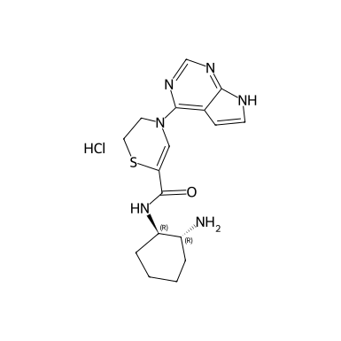 Cl.N[C@@H]1CCCC[C@H]1NC(=O)C1=CN(c2ncnc3[nH]ccc23)CCS1